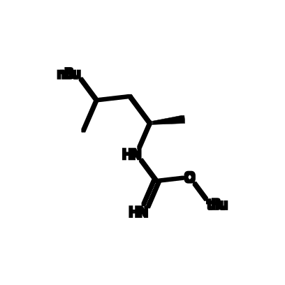 CCCCC(C)C[C@@H](C)NC(=N)OC(C)(C)C